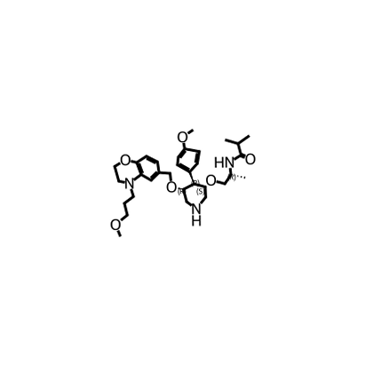 COCCCN1CCOc2ccc(CO[C@H]3CNC[C@@H](OC[C@@H](C)NC(=O)C(C)C)[C@@H]3c3ccc(OC)cc3)cc21